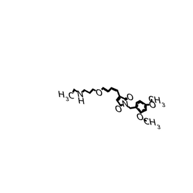 CCNCCCO/C=C/C=C\C1=CC(=O)N(Cc2ccc(OC)cc2OC)C1=O